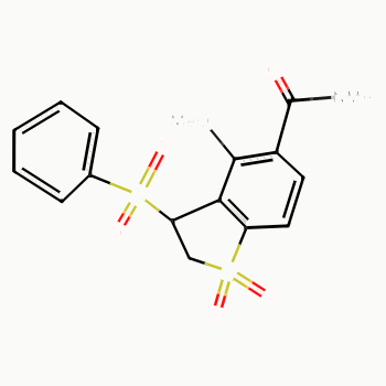 CNC(=O)c1ccc2c(c1OC)C(S(=O)(=O)c1ccccc1)CS2(=O)=O